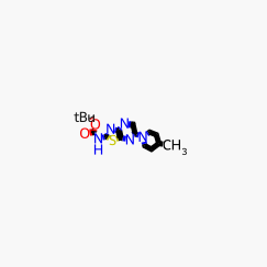 CC1CCN(c2cnc3nc(NC(=O)OC(C)(C)C)sc3n2)CC1